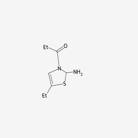 CCC(=O)N1C=C(CC)SC1N